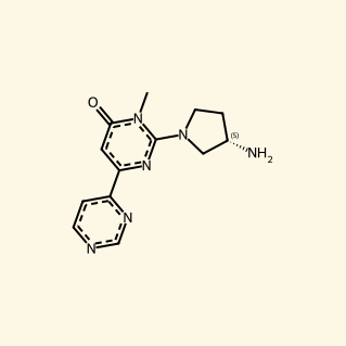 Cn1c(N2CC[C@H](N)C2)nc(-c2ccncn2)cc1=O